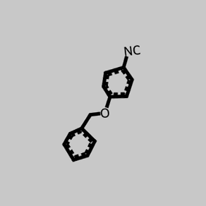 [C-]#[N+]c1ccc(OCc2ccccc2)cc1